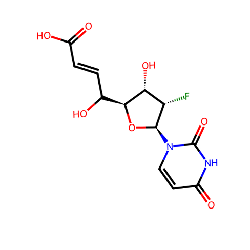 O=C(O)/C=C/C(O)[C@@H]1O[C@H](n2ccc(=O)[nH]c2=O)[C@@H](F)[C@H]1O